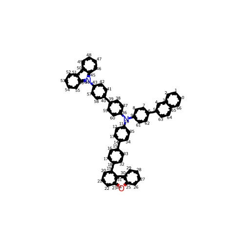 c1ccc2cc(-c3ccc(N(c4ccc(-c5ccc(-c6cccc7oc8ccccc8c67)cc5)cc4)c4ccc(-c5ccc(-n6c7ccccc7c7ccccc76)cc5)cc4)cc3)ccc2c1